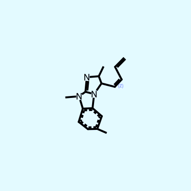 C=C/C=C\C1C(C)N=C2N(C)c3ccc(C)cc3N21